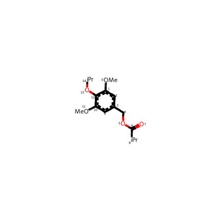 COc1cc(COC(=O)C(C)C)cc(OC)c1OC(C)C